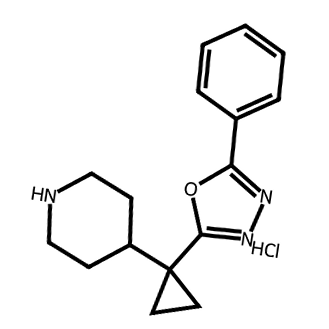 Cl.c1ccc(-c2nnc(C3(C4CCNCC4)CC3)o2)cc1